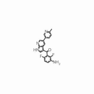 Cc1ccc(-c2cnc3[nH]cc(C(=O)c4c(F)ccc(N)c4F)c3c2)cn1